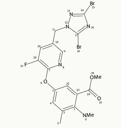 CNc1c(C)cc(Oc2ncc(Cn3nc(Br)nc3Br)cc2F)cc1C(=O)OC